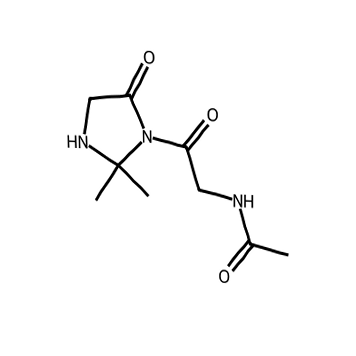 CC(=O)NCC(=O)N1C(=O)CNC1(C)C